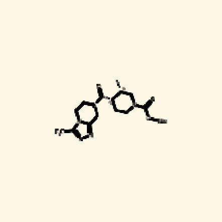 C[C@@H]1CN(C(=O)OC(C)(C)C)CC[C@@H]1C(=O)N1CCn2c(nnc2C(F)(F)F)C1